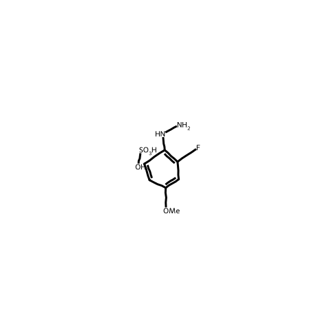 COc1ccc(NN)c(F)c1.O=S(=O)(O)O